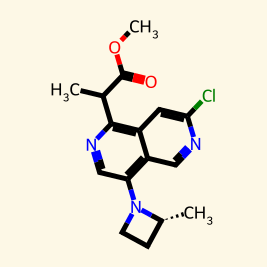 COC(=O)C(C)c1ncc(N2CC[C@H]2C)c2cnc(Cl)cc12